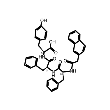 O=C(Cc1ccc2ccccc2c1)N[C@@H](Cc1ccccc1)C(=O)N[C@@H](Cc1ccccc1)C(=O)N[C@@H](Cc1ccc(O)cc1)C(=O)O